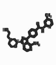 Cc1ccnc(NC(=O)c2ccc(-c3nc([C@H]4CN(CCO)CCO4)n4ccnc(N)c34)cc2)c1